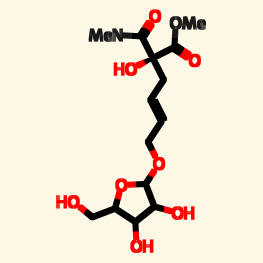 CNC(=O)[C@@](O)(C/C=C/COC1OC(CO)C(O)C1O)C(=O)OC